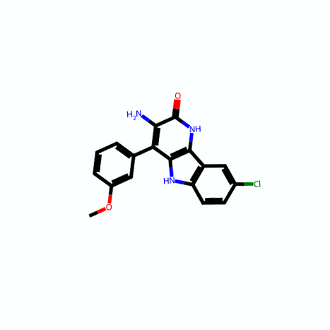 COc1cccc(-c2c(N)c(=O)[nH]c3c2[nH]c2ccc(Cl)cc23)c1